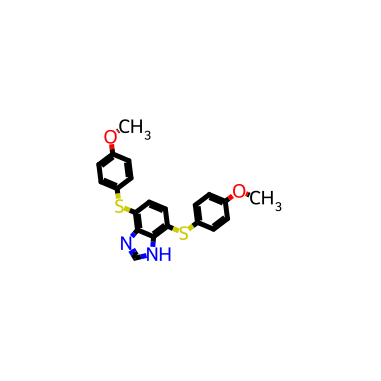 COc1ccc(Sc2ccc(Sc3ccc(OC)cc3)c3[nH]cnc23)cc1